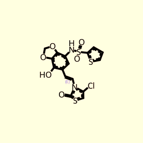 O=c1scc(Cl)n1/C=C/c1cc(NS(=O)(=O)c2cccs2)c2c(c1O)OCO2